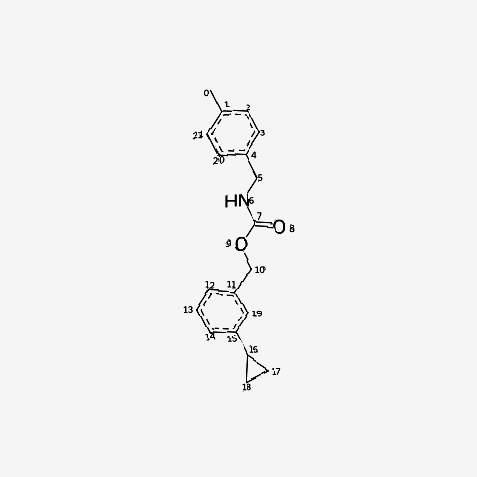 Cc1ccc(CNC(=O)OCc2cccc(C3CC3)c2)cc1